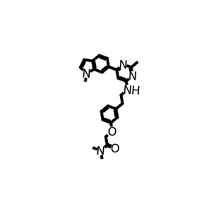 Cc1nc(NCCc2cccc(OCC(=O)N(C)C)c2)cc(-c2ccc3ccn(C)c3c2)n1